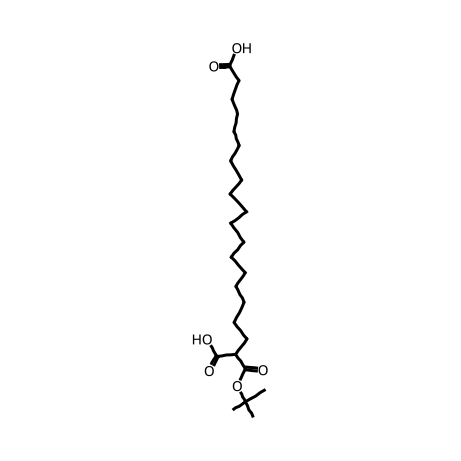 CC(C)(C)OC(=O)C(CCCCCCCCCCCCCCCCCC(=O)O)C(=O)O